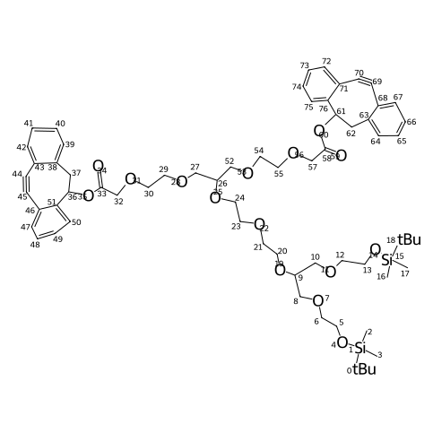 CC(C)(C)[Si](C)(C)OCCOCC(COCCO[Si](C)(C)C(C)(C)C)OCCOCCOC(COCCOCC(=O)OC1Cc2ccccc2C#Cc2ccccc21)COCCOCC(=O)OC1Cc2ccccc2C#Cc2ccccc21